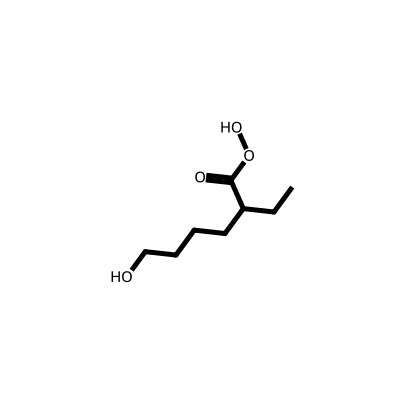 CCC(CCCCO)C(=O)OO